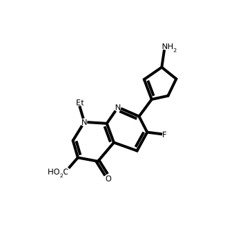 CCn1cc(C(=O)O)c(=O)c2cc(F)c(C3=CC(N)CC3)nc21